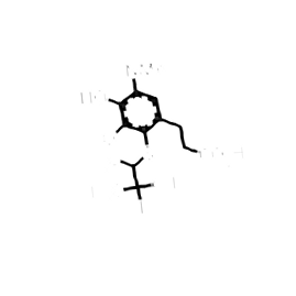 CNc1cc(CCC(=O)O)c(SC(C)C(C)(C)I)c(O)c1O